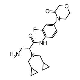 NC[C@H](C(=O)Nc1ccc(N2CCOCC2=O)cc1F)N(CC1CC1)CC1CC1